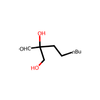 CCCCCCC(O)([C]=O)CO